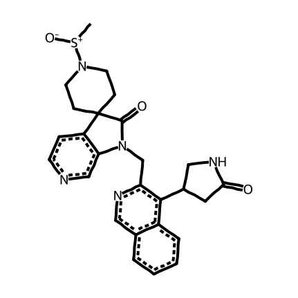 C[S+]([O-])N1CCC2(CC1)C(=O)N(Cc1ncc3ccccc3c1C1CNC(=O)C1)c1cnccc12